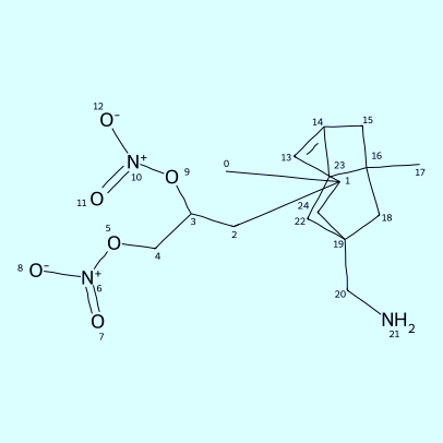 CC1(CC(CO[N+](=O)[O-])O[N+](=O)[O-])C=C2CC3(C)CC(CN)(CC23)C1